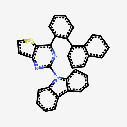 c1ccc(-c2nc(-n3c4ccccc4c4ccccc43)nc3ccsc23)c(-c2cccc3ccccc23)c1